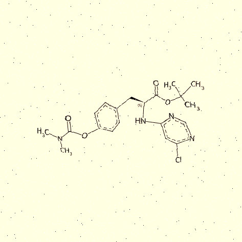 CN(C)C(=O)Oc1ccc(C[C@H](Nc2cc(Cl)ncn2)C(=O)OC(C)(C)C)cc1